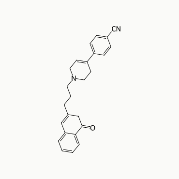 N#Cc1ccc(C2=CCN(CCCC3=Cc4ccccc4C(=O)C3)CC2)cc1